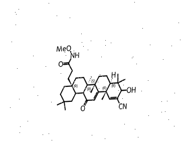 CONC(=O)CC[C@]12CCC(C)(C)CC1C1C(=O)C=C3[C@@]4(C)C=C(C#N)C(O)C(C)(C)[C@@H]4CC[C@@]3(C)[C@]1(C)CC2